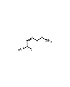 CCCC(C)/C=C\CCN